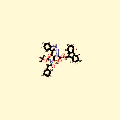 CC(C)(C)OC(=O)N(C(=O)Cc1ccccc1)C(=O)[C@@H](Cc1c[nH]c2ccccc12)NC(=O)OCC1c2ccccc2-c2ccccc21